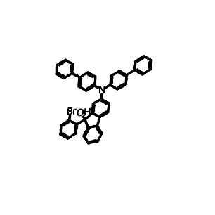 OC1(c2ccccc2Br)c2ccccc2-c2ccc(N(c3ccc(-c4ccccc4)cc3)c3ccc(-c4ccccc4)cc3)cc21